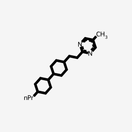 CCCC1CCC(C2CCC(CCc3ncc(C)cn3)CC2)CC1